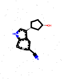 N#Cc1ccc2[nH]cc([C@@H]3CC[C@H](O)C3)c2c1